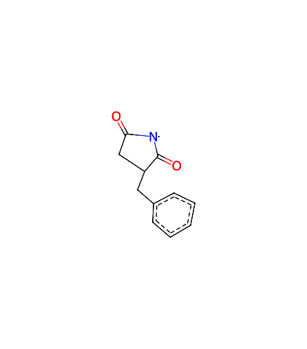 O=C1CC(Cc2ccccc2)C(=O)[N]1